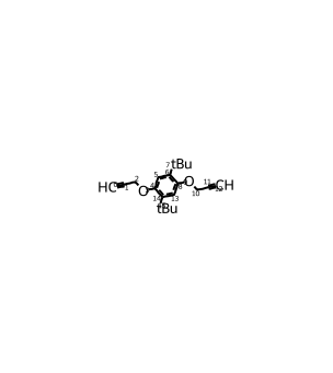 C#CCOc1cc(C(C)(C)C)c(OCC#C)cc1C(C)(C)C